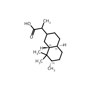 CC(C(=O)O)C1CC[C@H]2CC[C@H](C)C(C)(C)[C@@H]2C1